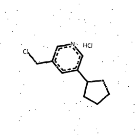 Cl.ClCc1cncc(C2CCCC2)c1